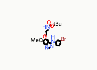 COc1cc2ncnc(Nc3cccc(Br)c3)c2cc1OCCCNC(=O)OC(C)(C)C